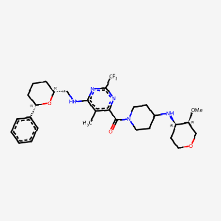 CO[C@H]1COCC[C@H]1NC1CCN(C(=O)c2nc(C(F)(F)F)nc(NC[C@H]3CCC[C@@H](c4ccccc4)O3)c2C)CC1